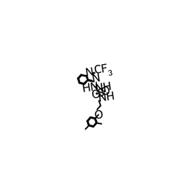 Cc1ccc(OCCCNS(=O)(=O)NNc2nc(C(F)(F)F)nc3ccccc23)c(C)c1